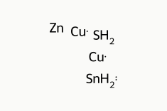 S.[Cu].[Cu].[SnH2].[Zn]